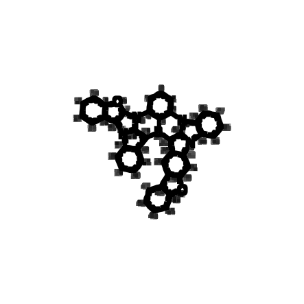 c1cc2c3c(c1)-n1c4oc5ccccc5c4n4c5ccccc5c(c14)B3c1c3cc4c(cc3n3c5ccccc5n-2c13)oc1ccccc14